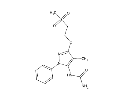 Cc1c(OCCS(C)(=O)=O)nn(-c2ccccc2)c1NC(N)=O